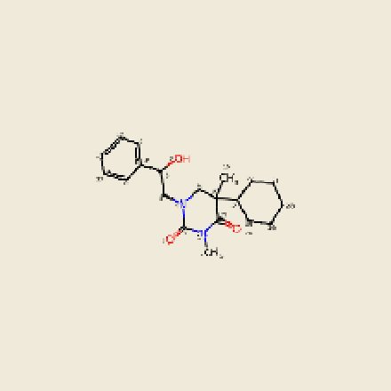 CN1C(=O)N(CC(O)c2ccccc2)CC(C)(C2CCCCC2)C1=O